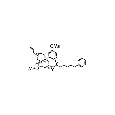 C=CCN1CC[C@@]2(c3cccc(OC)c3)C[C@H](N(C)C(=O)CCCCCc3ccccc3)CC(OC)[C@@H]2C1